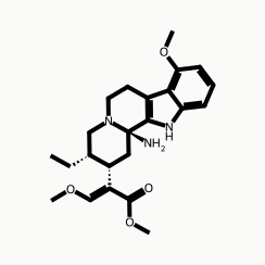 CC[C@@H]1CN2CCc3c([nH]c4cccc(OC)c34)[C@]2(N)C[C@@H]1/C(=C\OC)C(=O)OC